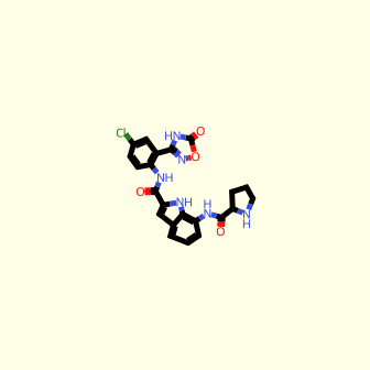 O=C(Nc1ccc(Cl)cc1-c1noc(=O)[nH]1)c1cc2cccc(NC(=O)C3CCCN3)c2[nH]1